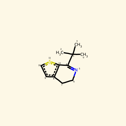 CC(C)(C)C1=NCCc2ccsc21